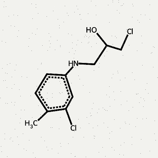 Cc1ccc(NCC(O)CCl)cc1Cl